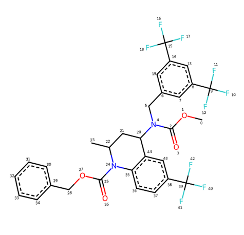 COC(=O)N(Cc1cc(C(F)(F)F)cc(C(F)(F)F)c1)C1CC(C)N(C(=O)OCc2ccccc2)c2ccc(C(F)(F)F)cc21